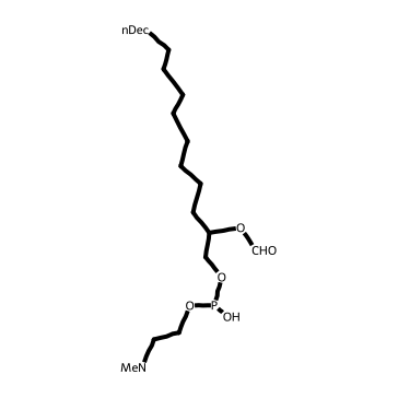 CCCCCCCCCCCCCCCCCCC(COP(O)OCCNC)OC=O